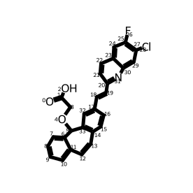 O=C(O)COC1c2ccccc2C=Cc2ccc(/C=C/c3ccc4cc(F)c(Cl)cc4n3)cc21